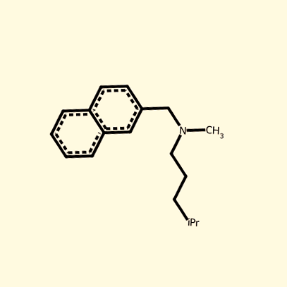 CC(C)CCCN(C)Cc1ccc2ccccc2c1